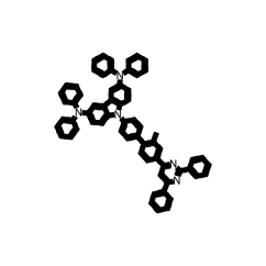 Cc1cc(-c2cc(-c3ccccc3)nc(-c3ccccc3)n2)ccc1-c1ccc(-n2c3ccc(N(c4ccccc4)c4ccccc4)cc3c3cc(N(c4ccccc4)c4ccccc4)ccc32)cc1